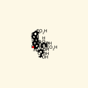 C=C(O)C1O[C@H](O[C@H]2CC[C@]3(C)[C@H]4C(=O)C=C5[C@@H]6C[C@@](C)(C(=O)O)CC[C@]6(C)CC[C@@]5(C)[C@]4(C)CC[C@H]3C2(C)C)[C@H](O[C@H]2O[C@@H](C(=O)O)[C@H](O)[C@@H](O)[C@@H]2O)[C@@H](O)[C@@H]1O